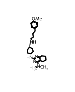 COc1ccc(CCCCNC[C@H]2CC[C@@H](Nc3nc4c(c(N(C)C)n3)CCCC4)CC2)cc1